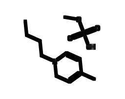 CCCCN1C=CC(C)=CC1.COS(=O)(=O)O